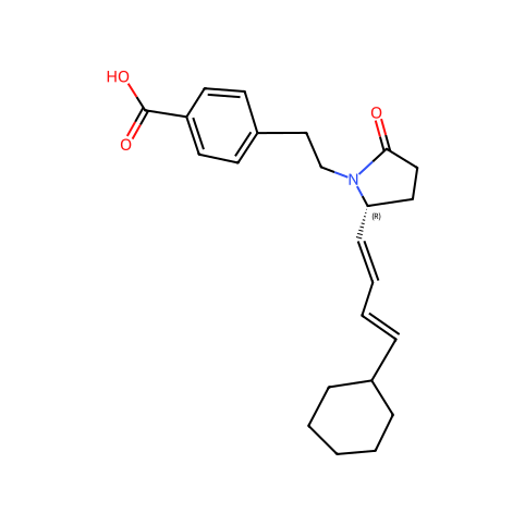 O=C(O)c1ccc(CCN2C(=O)CC[C@@H]2C=CC=CC2CCCCC2)cc1